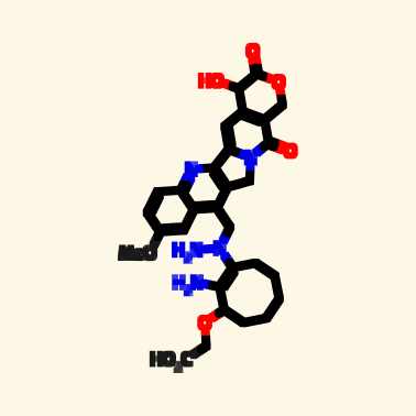 COc1ccc2nc3c(c(CN(N)/C4=C(\N)C(OCC(=O)O)CCCCC4)c2c1)Cn1c-3cc2c(c1=O)COC(=O)C2O